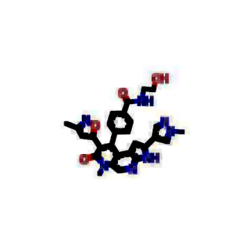 Cc1cc(-c2c(-c3ccc(C(=O)NCCO)cc3)c3c4cc(-c5cnn(C)c5)[nH]c4ncc3n(C)c2=O)on1